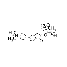 CN(C)c1ccc(-c2ccc3c(c2)CN(CCC(C)(C(=O)NO)S(C)(=O)=O)C3=O)cc1